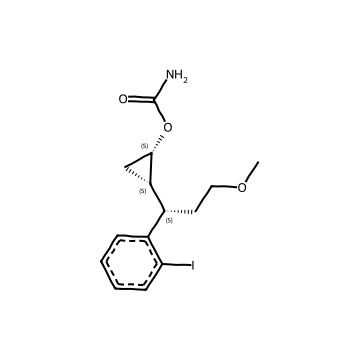 COCC[C@H](c1ccccc1I)[C@@H]1C[C@@H]1OC(N)=O